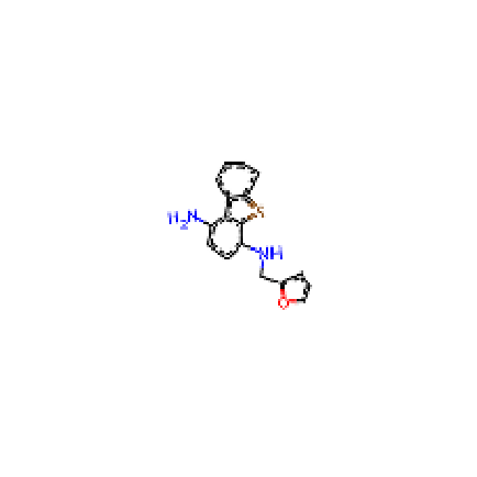 Nc1ccc(NCc2ccco2)c2sc3ccccc3c12